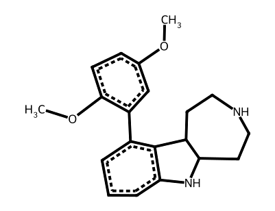 COc1ccc(OC)c(-c2cccc3c2C2CCNCCC2N3)c1